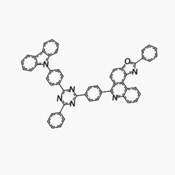 c1ccc(-c2nc(-c3ccc(-c4nc5ccccc5c5c4ccc4oc(-c6ccccc6)nc45)cc3)nc(-c3ccc(-n4c5ccccc5c5ccccc54)cc3)n2)cc1